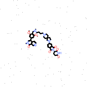 COc1cc(-c2cn(C)c(=O)c3cnccc23)cc(OC)c1CN(C)CCCCN1CCC2(CC1)CCN(c1ccc3c(c1)C(=O)N(C1CCC(=O)NC1=O)C3=O)C2